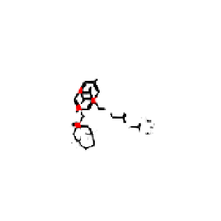 O=C(COCc1cc(Cl)ccc1OCC(=O)N1[C@@H]2CC[C@H]1CC(Oc1ccc(F)cc1)C2)Nc1nnn[nH]1